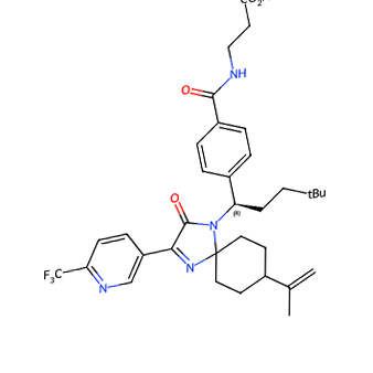 C=C(C)C1CCC2(CC1)N=C(c1ccc(C(F)(F)F)nc1)C(=O)N2[C@H](CCC(C)(C)C)c1ccc(C(=O)NCCC(=O)O)cc1